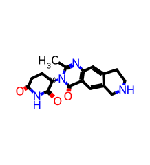 Cc1nc2cc3c(cc2c(=O)n1[C@@H]1CCC(=O)NC1=O)CNCC3